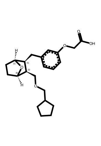 O=C(O)COc1cccc(C[C@H]2[C@@H](COCC3CCCC3)[C@H]3CC[C@@H]2O3)c1